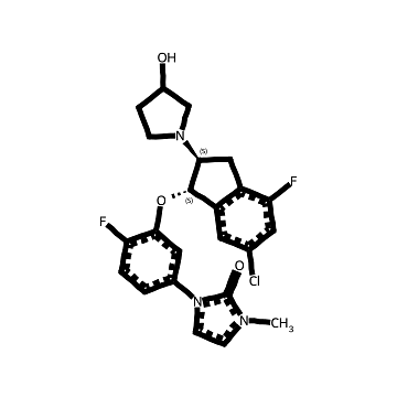 Cn1ccn(-c2ccc(F)c(O[C@H]3c4cc(Cl)cc(F)c4C[C@@H]3N3CCC(O)C3)c2)c1=O